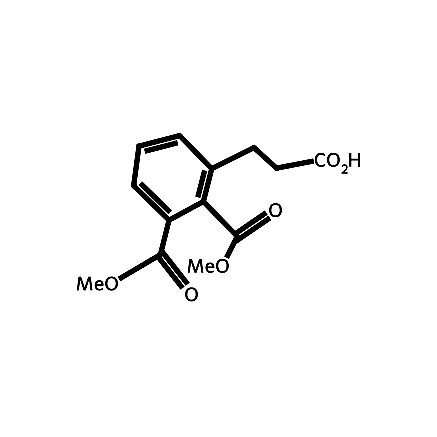 COC(=O)c1cccc(CCC(=O)O)c1C(=O)OC